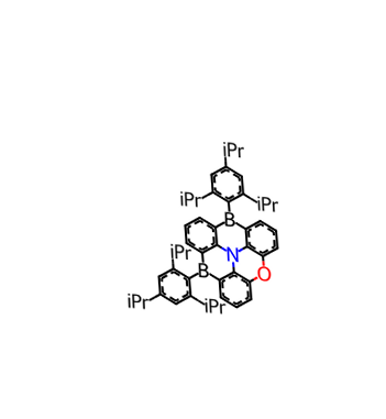 CC(C)c1cc(C(C)C)c(B2c3cccc4c3N3c5c(cccc5B(c5c(C(C)C)cc(C(C)C)cc5C(C)C)c5cccc2c53)O4)c(C(C)C)c1